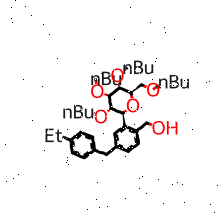 CCCCOC[C@H]1O[C@@H](c2cc(Cc3ccc(CC)cc3)ccc2CO)[C@@H](OCCCC)[C@@H](OCCCC)[C@@H]1OCCCC